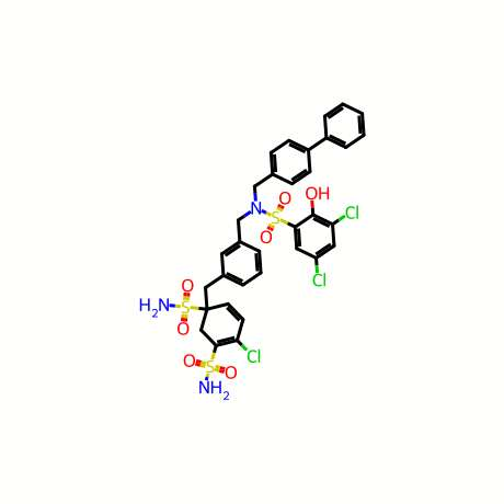 NS(=O)(=O)C1=C(Cl)C=CC(Cc2cccc(CN(Cc3ccc(-c4ccccc4)cc3)S(=O)(=O)c3cc(Cl)cc(Cl)c3O)c2)(S(N)(=O)=O)C1